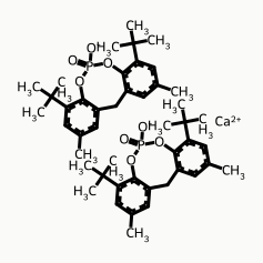 Cc1cc2c(c(C(C)(C)C)c1)OP(=O)([O-])Oc1c(cc(C)cc1C(C)(C)C)C2.Cc1cc2c(c(C(C)(C)C)c1)OP(=O)([O-])Oc1c(cc(C)cc1C(C)(C)C)C2.[Ca+2]